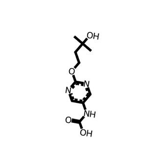 CC(C)(O)CCOc1ncc(NC(=O)O)cn1